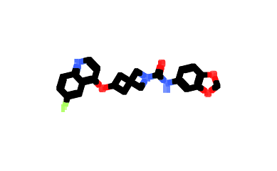 O=C(Nc1ccc2c(c1)OCO2)N1CC2(CC(Oc3ccnc4ccc(F)cc34)C2)C1